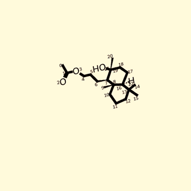 CC(=O)OCCC[C@@H]1[C@@]2(C)CCCC(C)(C)[C@@H]2CC[C@@]1(C)O